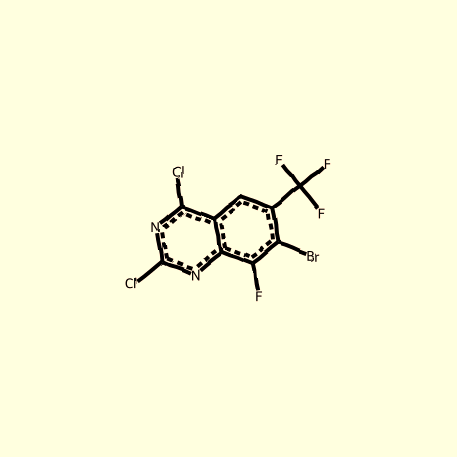 Fc1c(Br)c(C(F)(F)F)cc2c(Cl)nc(Cl)nc12